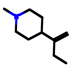 C=C(CC)C1CCN(C)CC1